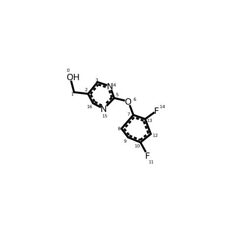 OCc1cnc(Oc2ccc(F)cc2F)nc1